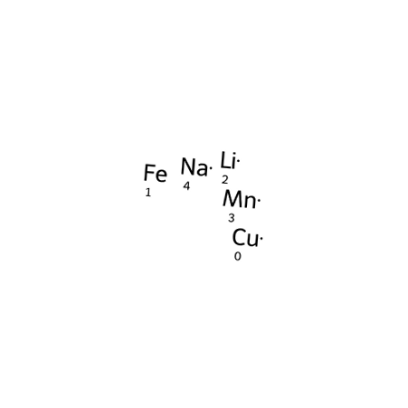 [Cu].[Fe].[Li].[Mn].[Na]